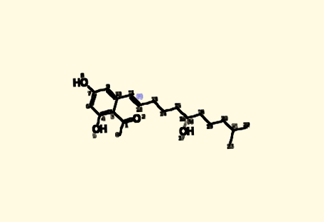 CC(=O)c1c(O)cc(O)cc1/C=C/CCC[C@@H](O)CCCC(C)C